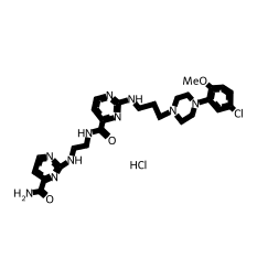 COc1ccc(Cl)cc1N1CCN(CCCNc2nccc(C(=O)NCCNc3nccc(C(N)=O)n3)n2)CC1.Cl